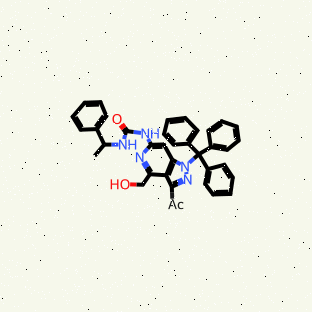 CC(=O)c1nn(C(c2ccccc2)(c2ccccc2)c2ccccc2)c2cc(NC(=O)NC(C)c3ccccc3)nc(CO)c12